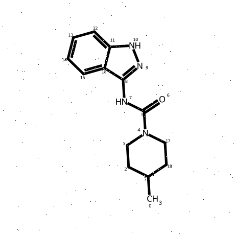 CC1CCN(C(=O)Nc2n[nH]c3ccccc23)CC1